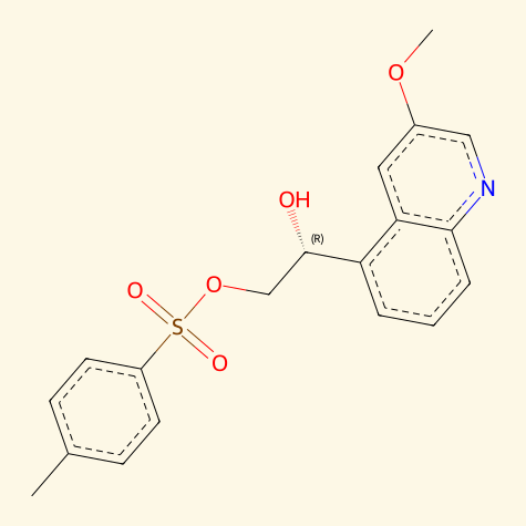 COc1cnc2cccc([C@@H](O)COS(=O)(=O)c3ccc(C)cc3)c2c1